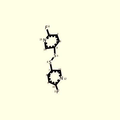 Fc1ccc(SSc2ccc(F)nc2)cn1